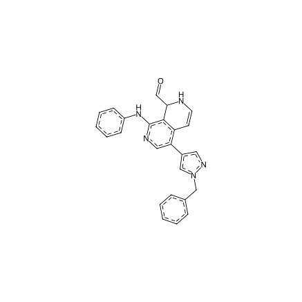 O=CC1NC=Cc2c(-c3cnn(Cc4ccccc4)c3)cnc(Nc3ccccc3)c21